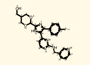 OCC1COC(c2nc(-c3ccc(F)cc3)c(-c3ccnc(NCc4cccnc4)n3)[nH]2)OC1